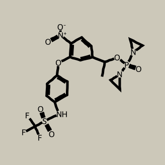 CC(OP(=O)(N1CC1)N1CC1)c1ccc([N+](=O)[O-])c(Oc2ccc(NS(=O)(=O)C(F)(F)F)cc2)c1